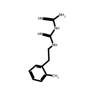 Cc1ccccc1CCNC(=N)NC(=N)N